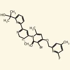 Cc1cc(F)nc(COc2cc(C)n(C3=CC(c4cccc(C(C)(C)O)n4)=NC[C@H]3C)c(=O)c2Br)c1